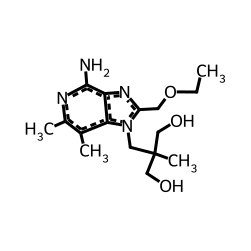 CCOCc1nc2c(N)nc(C)c(C)c2n1CC(C)(CO)CO